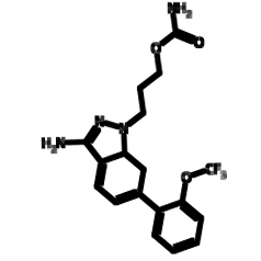 NC(=O)OCCCN1N=C(N)C2=CC=C(c3ccccc3OC(F)(F)F)CC21